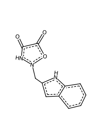 O=c1[nH]n(Cc2cc3ccccc3[nH]2)oc1=O